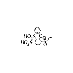 C=CCS(=O)(=O)c1ccc(S(=O)(=O)O)c(S(=O)(=O)O)c1Oc1ccccc1